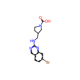 O=C(O)N1CCC(CNc2ncc3ccc(Br)cc3n2)C1